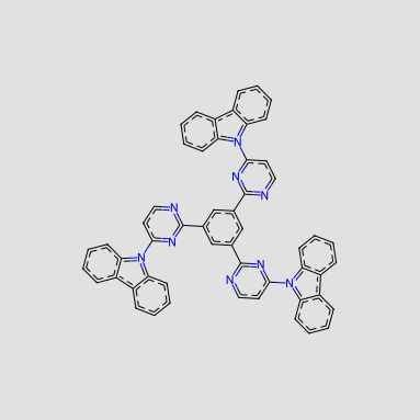 c1ccc2c(c1)c1ccccc1n2-c1ccnc(-c2cc(-c3nccc(-n4c5ccccc5c5ccccc54)n3)cc(-c3nccc(-n4c5ccccc5c5ccccc54)n3)c2)n1